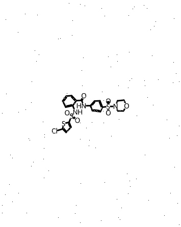 O=C(Nc1ccc(S(=O)(=O)N2CCOCC2)cc1)c1ccccc1NS(=O)(=O)c1ccc(Cl)s1